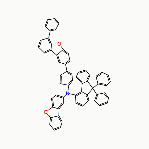 c1ccc(-c2cccc3c2oc2ccc(-c4ccc(N(c5ccc6oc7ccccc7c6c5)c5cccc6c5-c5ccccc5C6(c5ccccc5)c5ccccc5)cc4)cc23)cc1